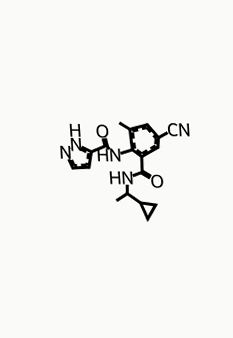 Cc1cc(C#N)cc(C(=O)NC(C)C2CC2)c1NC(=O)c1ccn[nH]1